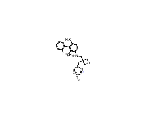 C=CN(CC1(CNc2ccc(C)c(-c3ccccc3C)c2C)COC1)/N=C\C